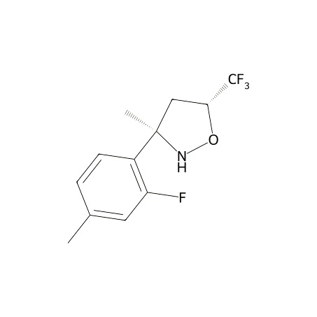 Cc1ccc([C@@]2(C)C[C@H](C(F)(F)F)ON2)c(F)c1